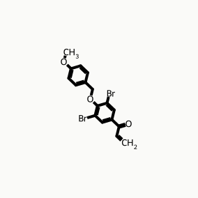 C=CC(=O)c1cc(Br)c(OCc2ccc(OC)cc2)c(Br)c1